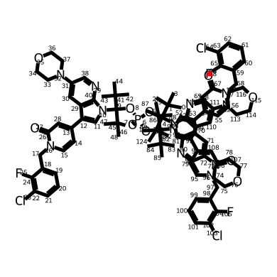 CC(C)(C)C(OP(=O)(OC(n1cc(-c2ccn(Cc3cccc(Cl)c3F)c(=O)c2)c2cc(N3CCOCC3)cnc21)(C(C)(C)C)C(C)(C)C)OC(n1cc(-c2ccn(Cc3cccc(Cl)c3F)c(=O)c2)c2cc(N3CCOCC3)cnc21)(C(C)(C)C)C(C)(C)C)(n1cc(-c2ccn(Cc3cccc(Cl)c3F)c(=O)c2)c2cc(N3CCOCC3)cnc21)C(C)(C)C